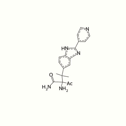 CC(=O)C(N)(C(N)=O)C(C)(C)c1ccc2[nH]c(-c3ccncc3)nc2c1